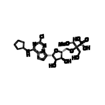 COCC(CO)(OC[C@H]1O[C@@H](c2ccc3c(NC4CCCC4)nc(Cl)nn23)[C@H](O)[C@@H]1O)P(=O)(O)O